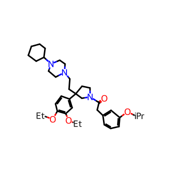 CCOc1ccc(C2(CCN3CCN(C4CCCCC4)CC3)CCN(C(=O)Cc3cccc(OC(C)C)c3)C2)cc1OCC